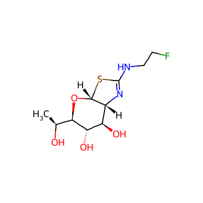 C[C@H](O)[C@H]1O[C@@H]2SC(NCCF)=N[C@@H]2[C@@H](O)[C@@H]1O